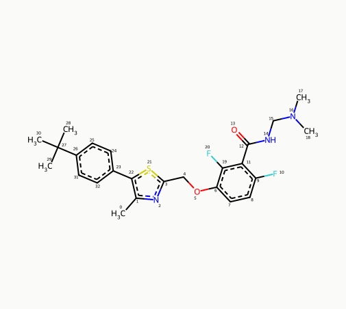 Cc1nc(COc2ccc(F)c(C(=O)NCN(C)C)c2F)sc1-c1ccc(C(C)(C)C)cc1